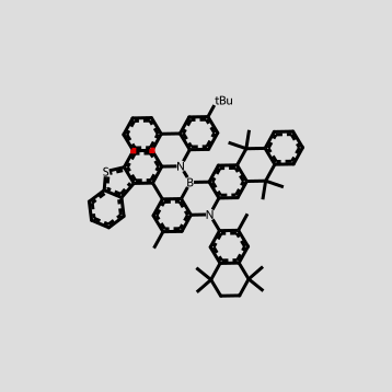 Cc1cc2c3c(c1)N(c1cc4c(cc1C)C(C)(C)CCC4(C)C)c1cc4c(cc1B3N(c1ccc(C(C)(C)C)cc1-c1ccccc1)c1ccc3sc5ccccc5c3c1-2)C(C)(C)c1ccccc1C4(C)C